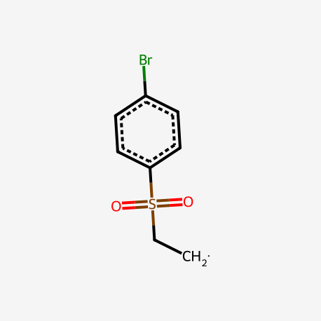 [CH2]CS(=O)(=O)c1ccc(Br)cc1